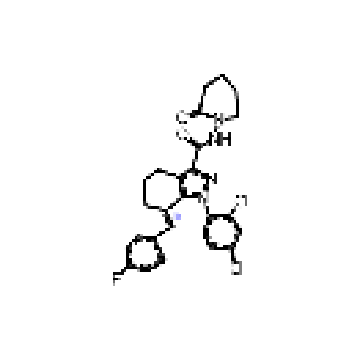 O=C(NN1CCCCC1=O)c1nn(-c2ccc(Cl)cc2Cl)c2c1CCC/C2=C\c1ccc(F)cc1